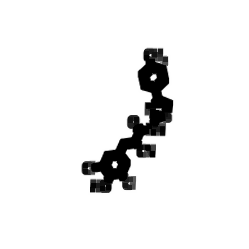 Cc1ccc(-c2csc(NC(=O)/C(C#N)=C/c3cc(Cl)c(O)c(Cl)c3)n2)cc1